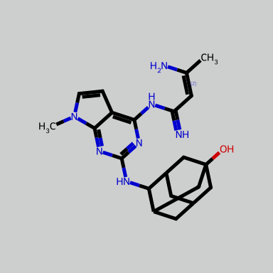 C/C(N)=C/C(=N)Nc1nc(NC2C3CC4CC2CC(O)(C4)C3)nc2c1ccn2C